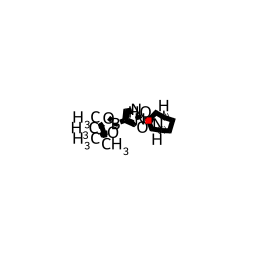 CC1(C)OB(c2cnn([C@@H]3C[C@H]4CC[C@@H](C3)N4C(=O)O)c2)OC1(C)C